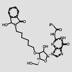 CC(C)C(=O)Nc1nc2c(ncn2[C@@H]2O[C@H](CO)C(OCCCCCCN3C(=O)c4ccccc4C3O)C2O)c(=O)[nH]1